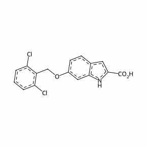 O=C(O)c1cc2ccc(OCc3c(Cl)cccc3Cl)cc2[nH]1